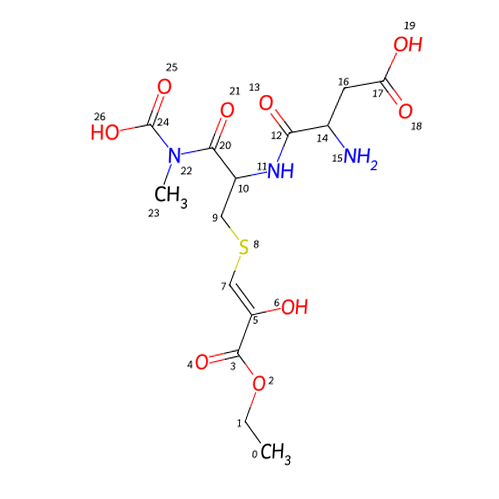 CCOC(=O)C(O)=CSCC(NC(=O)C(N)CC(=O)O)C(=O)N(C)C(=O)O